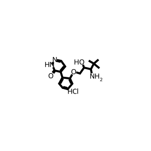 CC(C)(C)C(N)C(O)COc1ccccc1-c1ccn[nH]c1=O.Cl